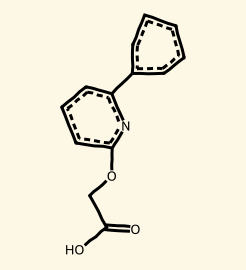 O=C(O)COc1cccc(-c2ccccc2)n1